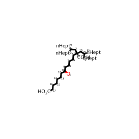 CCCCCCCC(CCCCCCC)CC(CCCCCC(=O)CCCCCCC(=O)O)(CC(CCCCCCC)CCCCCCC)C(=O)O